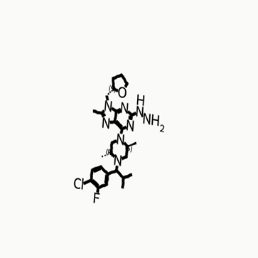 Cc1nc2c(N3C[C@@H](C)N(C(c4ccc(Cl)c(F)c4)C(C)C)C[C@@H]3C)nc(NN)nc2n1C[C@@H]1CCCO1